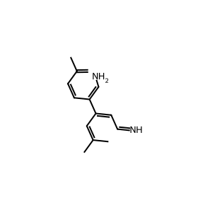 C=C(C)\C=C/C(=C\N)C(/C=C(C)C)=C/C=N